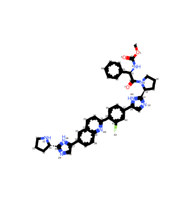 COC(=O)N[C@@H](C(=O)N1CCC[C@H]1c1ncc(-c2ccc(-c3ccc4cc(-c5cnc([C@@H]6CCCN6)[nH]5)ccc4n3)c(F)c2)[nH]1)c1ccccc1